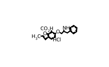 Cc1cc2ccc(OCC(N)Cc3ccccc3)c(C(=O)O)c2o1.Cl